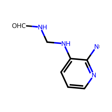 [N]c1ncccc1NCNC=O